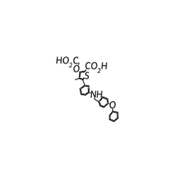 Cc1c(-c2cccc(NCc3ccc(Oc4ccccc4)cc3)c2)sc(C(=O)O)c1OCC(=O)O